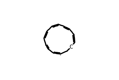 [C]1=CC=CC=CC=CC=CC=CCC1